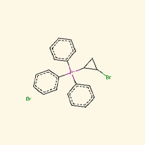 BrC1CC1[P+](c1ccccc1)(c1ccccc1)c1ccccc1.[Br-]